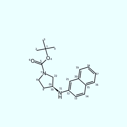 CC(C)(C)OC(=O)N1CC[C@H](Nc2ccc3ccccc3c2)C1